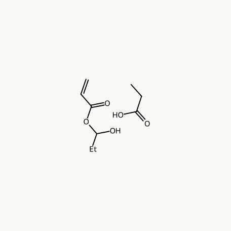 C=CC(=O)OC(O)CC.CCC(=O)O